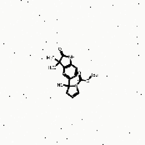 CC(C)(C)OC(=O)N1C=CCC1(C#N)c1ccc2c(c1)C(C)(C)C(=O)N2